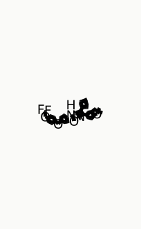 CC1(C)Cc2cc(C3=NN(C(=O)Nc4ccc(Oc5ccc(OC(F)F)cc5)cc4)CC3c3ccccc3)ccc2O1